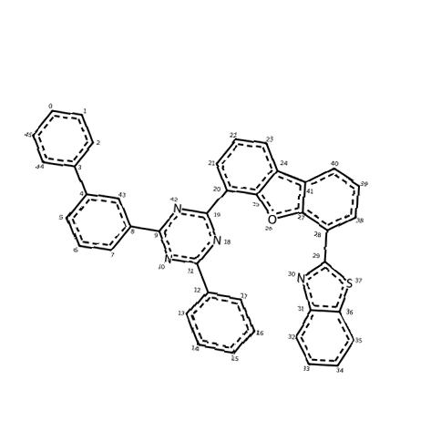 c1ccc(-c2cccc(-c3nc(-c4ccccc4)nc(-c4cccc5c4oc4c(-c6nc7ccccc7s6)cccc45)n3)c2)cc1